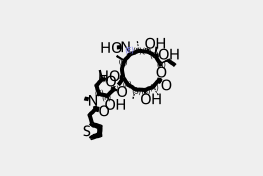 CC[C@H]1OC(=O)[C@H](C)[C@@H](O)[C@H](C)[C@@H](O[C@@H]2O[C@H](C)C[C@H](N(C)C(=O)Cc3cccs3)[C@H]2O)C(C)(O)C[C@@H](C)/C(=N\O)[C@H](C)[C@@H](O)[C@]1(C)O